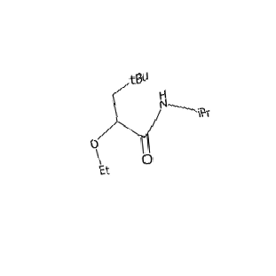 CCOC(CC(C)(C)C)C(=O)NC(C)C